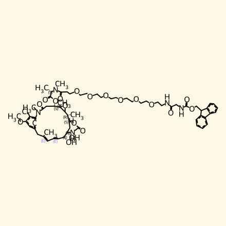 COc1cc2cc(c1Cl)N(C)C(=O)C[C@H](OC(=O)[C@H](C)N(C)C(=O)CCOCCOCCOCCOCCOCCOCCNC(=O)CNC(=O)OCC1c3ccccc3-c3ccccc31)[C@]1(C)OC1[C@H](C)[C@@H]1C[C@@](O)(NC(=O)O1)[C@H](O)/C=C/C=C(\C)C2